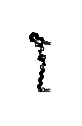 CCCCCCCCCCCCCCCCOC[C@H]1C[C@H](COC(=O)N(Cc2ccccn2)C(C)=O)S1